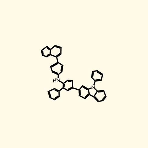 c1ccc(-c2cc(-c3ccc4c5ccccc5n(-c5ccccc5)c4c3)ccc2Nc2ccc(-c3cccc4ccccc34)cc2)cc1